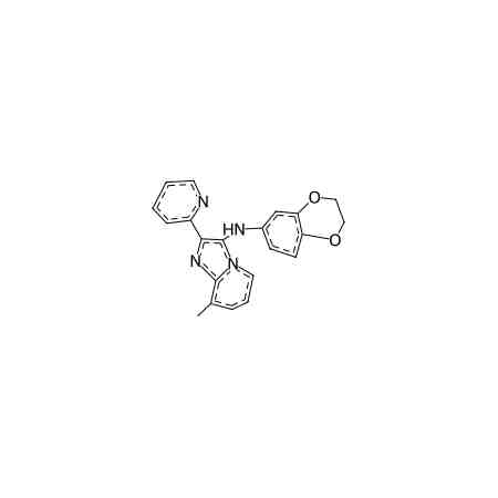 Cc1cccn2c(Nc3ccc4c(c3)OCCO4)c(-c3ccccn3)nc12